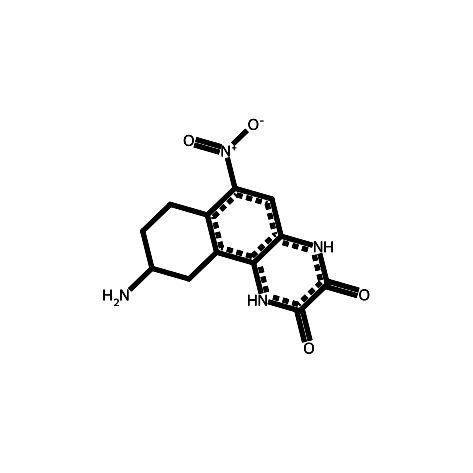 NC1CCc2c([N+](=O)[O-])cc3[nH]c(=O)c(=O)[nH]c3c2C1